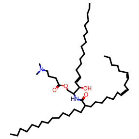 CCCCC/C=C\C/C=C\CCCCCCC(CCCCCCCCCCCCCC)C(=O)NC(COC(=O)CCCN(C)C)C(O)/C=C/CCCCCCCCCCCCC